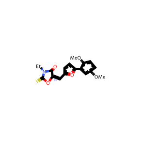 CCN1C(=O)/C(=C\c2ccc(-c3cc(OC)ccc3OC)o2)OC1=S